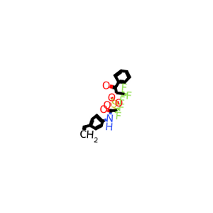 C=Cc1ccc(NC(=O)C(F)(F)S(=O)(=O)OC(C(=O)c2ccccc2)C(F)(F)F)cc1